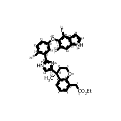 CCOC(=O)Cc1cccc2c1OCC[C@]2(C)c1c[nH]c(-c2cc(Oc3c(F)cc4[nH]ccc4c3F)ccc2F)n1